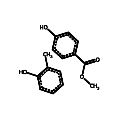 COC(=O)c1ccc(O)cc1.Cc1ccccc1O